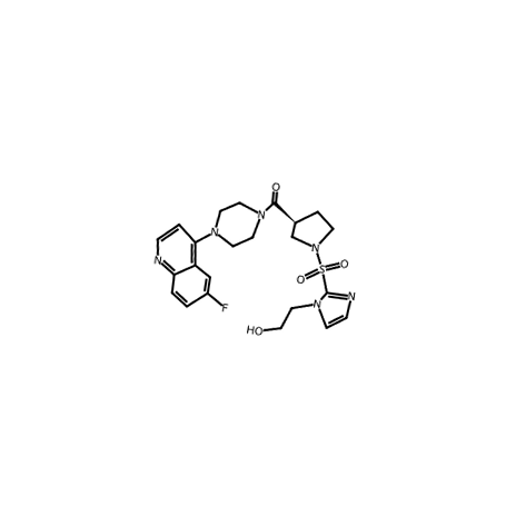 O=C([C@H]1CCN(S(=O)(=O)c2nccn2CCO)C1)N1CCN(c2ccnc3ccc(F)cc23)CC1